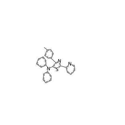 Cc1ccc(-c2nc(-c3ccccn3)sc2N(c2ccccc2)c2ccccc2)cc1